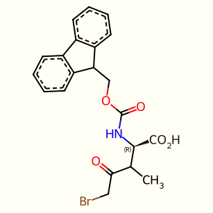 CC(C(=O)CBr)[C@@H](NC(=O)OCC1c2ccccc2-c2ccccc21)C(=O)O